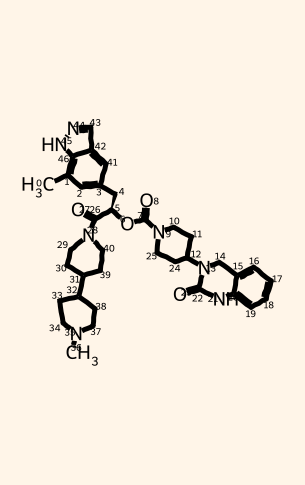 Cc1cc(C[C@@H](OC(=O)N2CCC(N3Cc4ccccc4NC3=O)CC2)C(=O)N2CCC(C3CCN(C)CC3)CC2)cc2cn[nH]c12